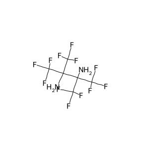 NC(C(F)(F)F)(C(F)(F)F)C(N)(C(F)(F)F)C(F)(F)F